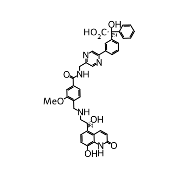 COc1cc(C(=O)NCc2cnc(-c3cccc([C@](O)(C(=O)O)c4ccccc4)c3)cn2)ccc1CNC[C@H](O)c1ccc(O)c2[nH]c(=O)ccc12